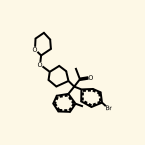 CC(=O)C(c1ccc(Br)cc1)(c1ccccc1C)C1CCC(OC2CCCCO2)CC1